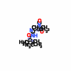 C=C/C=C(\C=C(/C)C(C)(C)C)C(=O)Nc1cnc(C)c(C(=C/C=O)/C=C(\N(C)C)N2CCOCC2)c1